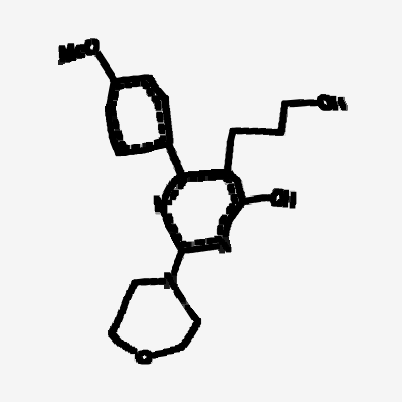 COc1ccc(-c2nc(N3CCOCC3)nc(O)c2CCCO)cc1